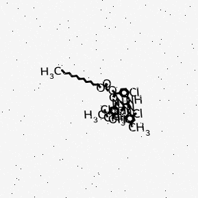 CCCCCCCCCCCCOC(=O)COC(=O)c1ccc(Cl)c(NC2=NN(c3c(Cl)cc(C)cc3Cl)C(=O)C2N=Nc2ccc(O)c(C(C)(C)C)c2)c1